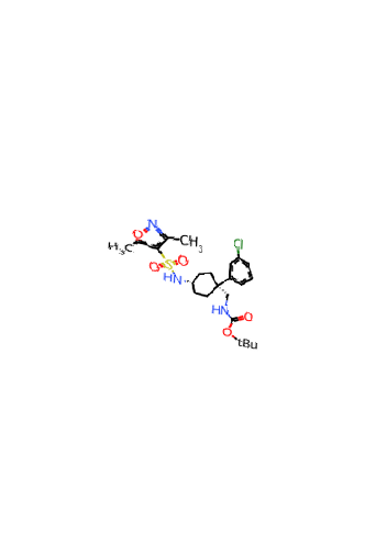 Cc1noc(C)c1S(=O)(=O)N[C@H]1CC[C@](CNC(=O)OC(C)(C)C)(c2cccc(Cl)c2)CC1